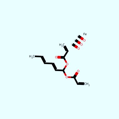 C=CC(=O)OC(C=CC=CC)OC(=O)C=C.[C]=O.[C]=O.[C]=O.[Fe]